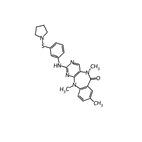 Cc1ccc2c(c1)C(=O)N(C)c1cnc(Nc3cccc(SN4CCCC4)c3)nc1N2C